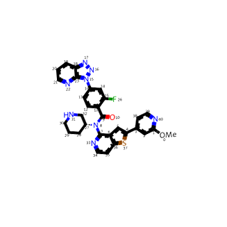 COc1cc(-c2cc3c(N(C(=O)c4ccc(-n5nnc6cccnc65)cc4F)[C@@H]4CCCNC4)nccc3s2)ccn1